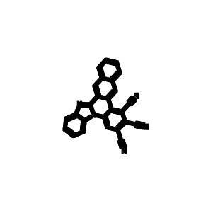 N#Cc1cc2c(c(C#N)c1C#N)c1cc3ccccc3cc1c1nc3ccccc3n21